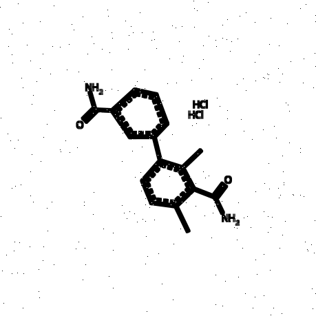 Cc1ccc(-c2cccc(C(N)=O)c2)c(C)c1C(N)=O.Cl.Cl